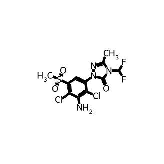 Cc1nn(-c2cc(S(C)(=O)=O)c(Cl)c(N)c2Cl)c(=O)n1C(F)F